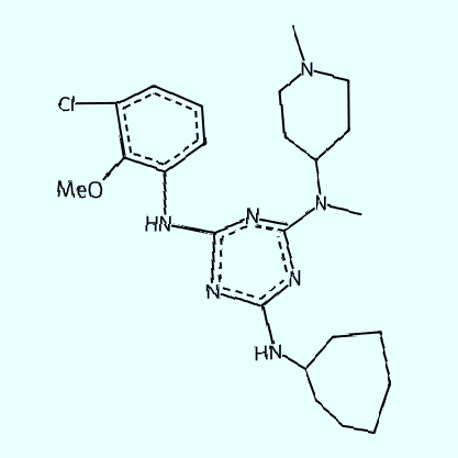 COc1c(Cl)cccc1Nc1nc(NC2CCCCCC2)nc(N(C)C2CCN(C)CC2)n1